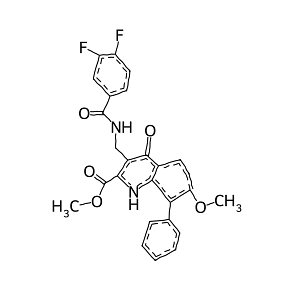 COC(=O)c1[nH]c2c(-c3ccccc3)c(OC)ccc2c(=O)c1CNC(=O)c1ccc(F)c(F)c1